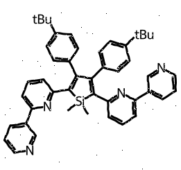 CC(C)(C)c1ccc(C2=C(c3cccc(-c4cccnc4)n3)[Si](C)(C)C(c3cccc(-c4cccnc4)n3)=C2c2ccc(C(C)(C)C)cc2)cc1